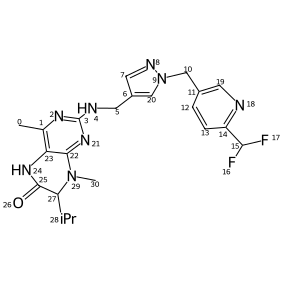 Cc1nc(NCc2cnn(Cc3ccc(C(F)F)nc3)c2)nc2c1NC(=O)C(C(C)C)N2C